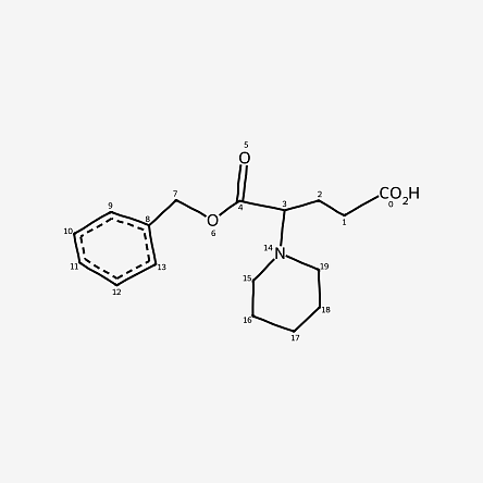 O=C(O)CCC(C(=O)OCc1ccccc1)N1CCCCC1